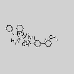 Cc1cccc(-c2ccc(C[C@H](NC(=O)O)[C@H](O)C[C@H](N)C(Cc3ccccc3)c3ccccc3)cc2)n1